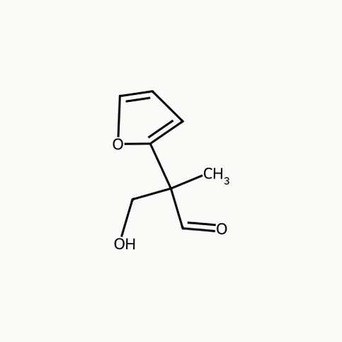 CC(C=O)(CO)c1ccco1